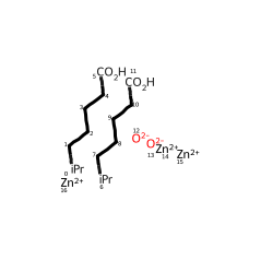 CC(C)CCCCC(=O)O.CC(C)CCCCC(=O)O.[O-2].[O-2].[Zn+2].[Zn+2].[Zn+2]